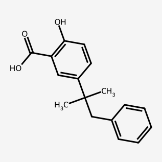 CC(C)(Cc1ccccc1)c1ccc(O)c(C(=O)O)c1